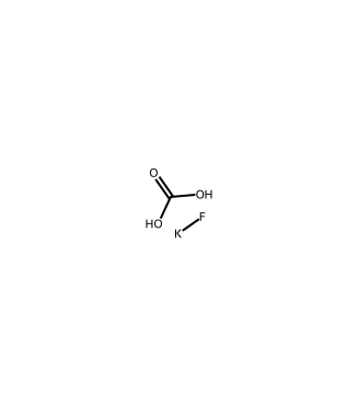 O=C(O)O.[F][K]